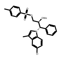 CO[C@H](COS(=O)(=O)c1ccc(C)cc1)[C@H](c1ccccc1)n1cc(C)c2cc(Cl)ccc21